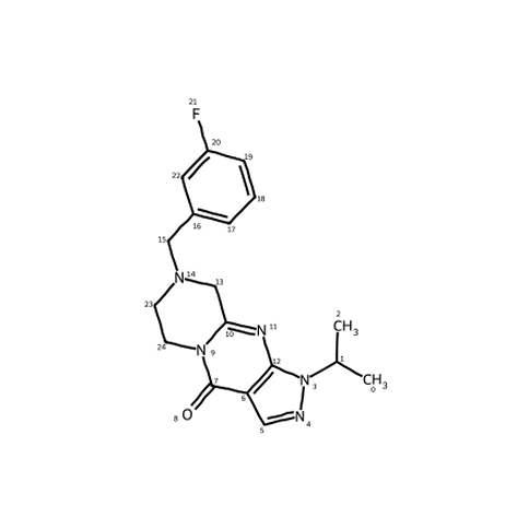 CC(C)n1ncc2c(=O)n3c(nc21)CN(Cc1cccc(F)c1)CC3